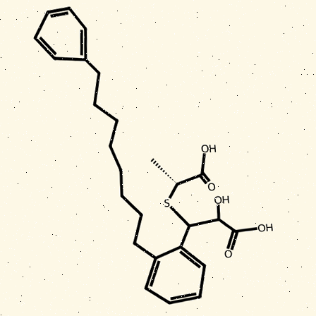 C[C@@H](SC(c1ccccc1CCCCCCCCc1ccccc1)C(O)C(=O)O)C(=O)O